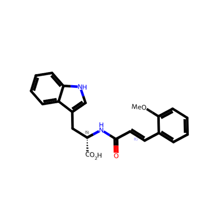 COc1ccccc1/C=C/C(=O)N[C@@H](Cc1c[nH]c2ccccc12)C(=O)O